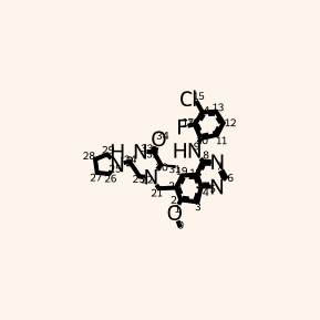 COc1cc2ncnc(Nc3cccc(Cl)c3F)c2cc1CN(CCN1CCCC1)[C@H](C)C(N)=O